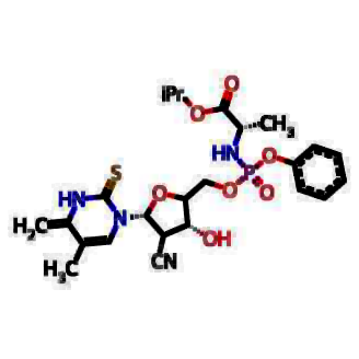 C=C1NC(=S)N([C@@H]2OC(COP(=O)(N[C@@H](C)C(=O)OC(C)C)Oc3ccccc3)[C@H](O)C2C#N)C=C1C